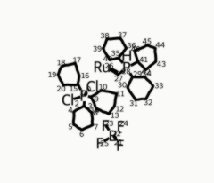 ClP(Cl)(C1CCCCC1)(C1CCCCC1)C1CCCCC1.F[B-](F)(F)F.[Ru]=[CH][PH](C1CCCCC1)(C1CCCCC1)C1CCCCC1